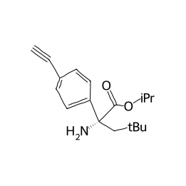 C#Cc1ccc([C@](N)(CC(C)(C)C)C(=O)OC(C)C)cc1